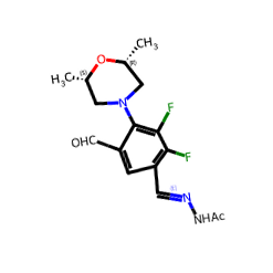 CC(=O)N/N=C/c1cc(C=O)c(N2C[C@@H](C)O[C@@H](C)C2)c(F)c1F